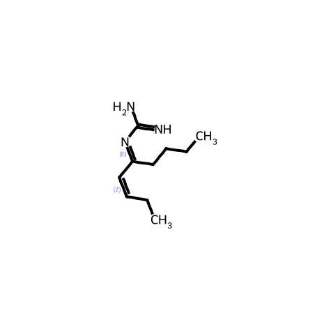 CC/C=C\C(CCCC)=N\C(=N)N